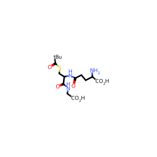 CC(C)(C)C(=O)SCC(NC(=O)CCC(N)C(=O)O)C(=O)NCC(=O)O